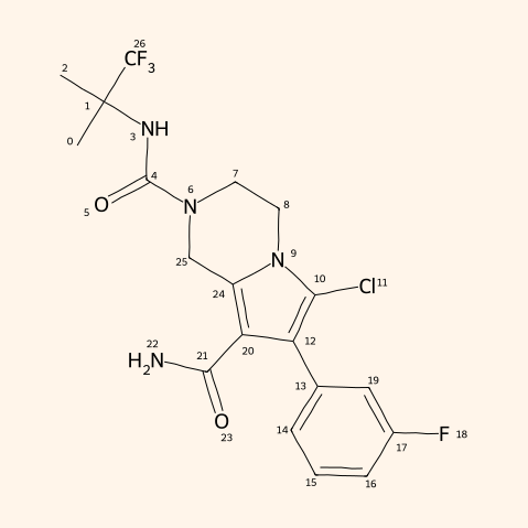 CC(C)(NC(=O)N1CCn2c(Cl)c(-c3cccc(F)c3)c(C(N)=O)c2C1)C(F)(F)F